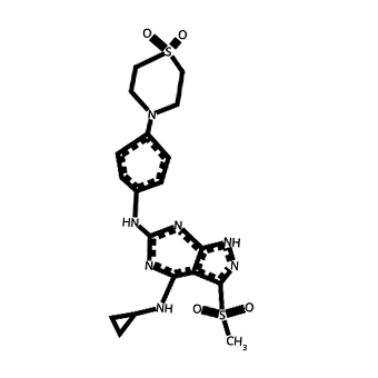 CS(=O)(=O)c1n[nH]c2nc(Nc3ccc(N4CCS(=O)(=O)CC4)cc3)nc(NC3CC3)c12